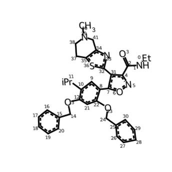 CCNC(=O)c1noc(-c2cc(C(C)C)c(OCc3ccccc3)cc2OCc2ccccc2)c1-c1nc2c(s1)CCN(C)C2